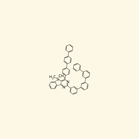 C[Si]1(C)c2ccccc2-c2nc(-c3cccc(-c4cccc(-c5cccc(-c6ccccc6)c5)c4)c3)nc(-c3ccc(-c4ccc(-c5ccccc5)cc4)cc3)c21